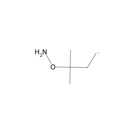 [CH2]CC(C)(C)ON